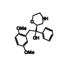 COc1ccc(OC)c(CC(O)(c2ccccc2)[C@@H]2CNCCO2)c1